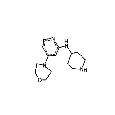 c1nc(NC2CCNCC2)cc(N2CCOCC2)n1